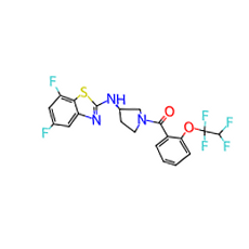 O=C(c1ccccc1OC(F)(F)C(F)F)N1CC[C@@H](Nc2nc3cc(F)cc(F)c3s2)C1